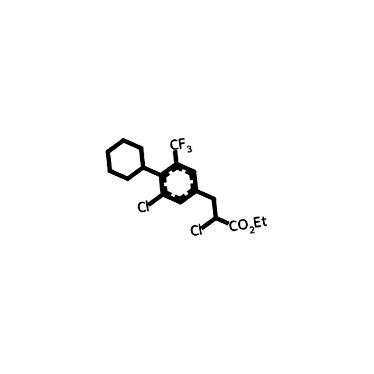 CCOC(=O)C(Cl)Cc1cc(Cl)c(C2CCCCC2)c(C(F)(F)F)c1